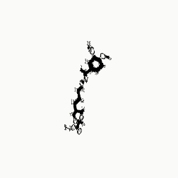 COc1ccc(C(C)=NOCCCCC2COC(C)(C(=O)O)OC2C)cc1OC